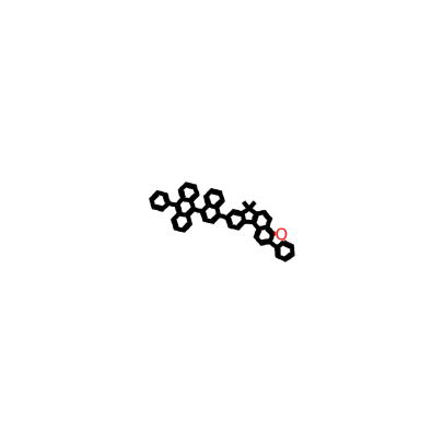 CC1(C)c2cc(-c3ccc(-c4c5ccccc5c(-c5ccccc5)c5ccccc45)c4ccccc34)ccc2-c2c1ccc1c2ccc2c3ccccc3oc12